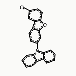 Clc1ccc2oc3cc(-n4c5ccccc5c5ccccc54)ccc3c2c1